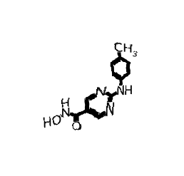 Cc1ccc(Nc2ncc(C(=O)NO)cn2)cc1